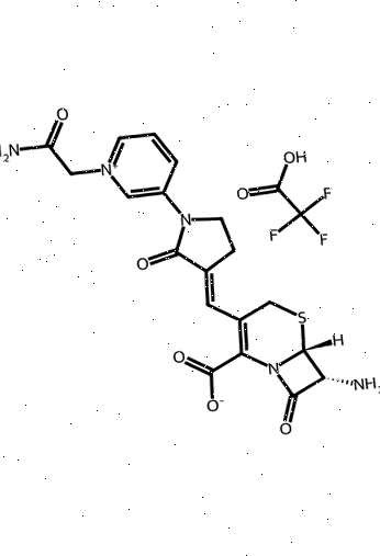 NC(=O)C[n+]1cccc(N2CCC(=CC3=C(C(=O)[O-])N4C(=O)[C@@H](N)[C@H]4SC3)C2=O)c1.O=C(O)C(F)(F)F